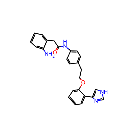 Nc1ccccc1CC(=O)Nc1ccc(CCOc2ccccc2-c2c[nH]cn2)cc1